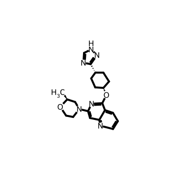 C[C@H]1CN(c2cc3ncccc3c(O[C@H]3CC[C@@H](c4nc[nH]n4)CC3)n2)CCO1